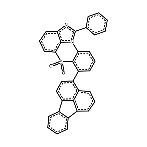 O=S1(=O)c2c(-c3ccc4c5c(cccc35)-c3ccccc3-4)cccc2-n2c(-c3ccccc3)nc3cccc1c32